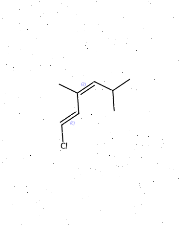 CC(=C/C(C)C)/C=C/Cl